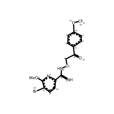 COc1nc(C(=N)NOCC(=O)c2ccc(OC(F)(F)F)cc2)ccc1Br